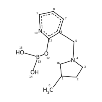 CC1CCN(Cc2cccnc2OB(O)O)C1